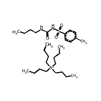 CCCCNC(=O)NS(=O)(=O)c1ccc(C)cc1.CCCC[N+](CCCC)(CCCC)CCCC